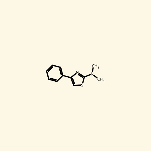 CN(C)c1nc(-c2ccccc2)cs1